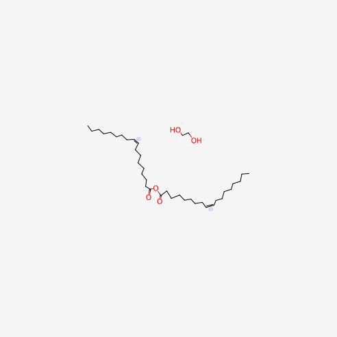 CCCCCCCC/C=C\CCCCCCCC(=O)OC(=O)CCCCCCC/C=C\CCCCCCCC.OCCO